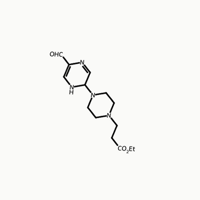 CCOC(=O)CCN1CCN(C2C=NC(C=O)=CN2)CC1